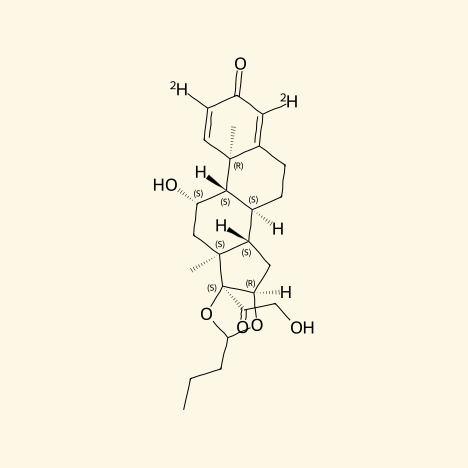 [2H]C1=C[C@@]2(C)C(=C([2H])C1=O)CC[C@@H]1[C@@H]2[C@@H](O)C[C@@]2(C)[C@H]1C[C@H]1OC(CCC)O[C@]12C(=O)CO